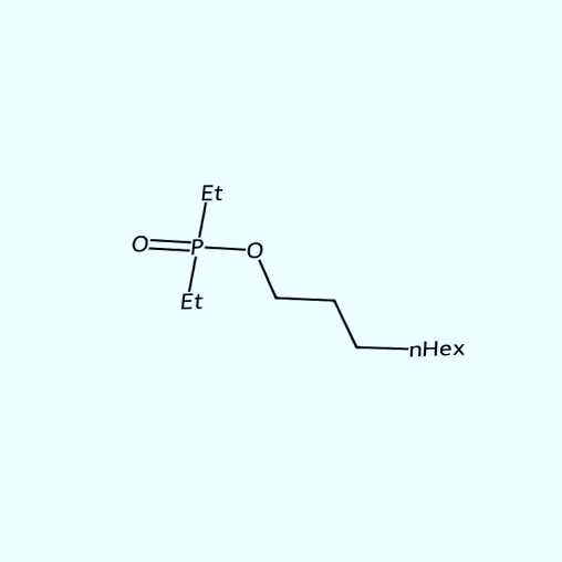 [CH2]CCCCCCCCOP(=O)(CC)CC